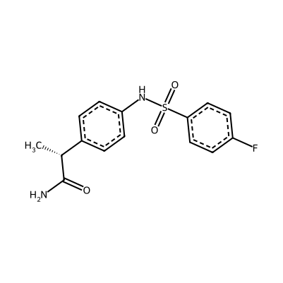 C[C@@H](C(N)=O)c1ccc(NS(=O)(=O)c2ccc(F)cc2)cc1